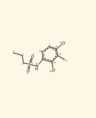 CCCS(=O)(=O)Nc1ncc(Cl)c(I)c1Cl